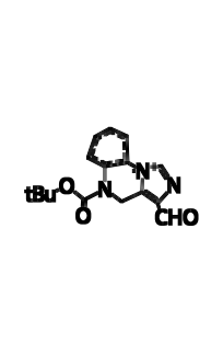 CC(C)(C)OC(=O)N1CC2=C(C=O)N=C[N+]2c2ccccc21